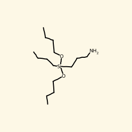 CCCCO[Si](CCCC)(CCCN)OCCCC